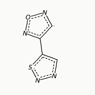 [c]1nonc1-c1cnns1